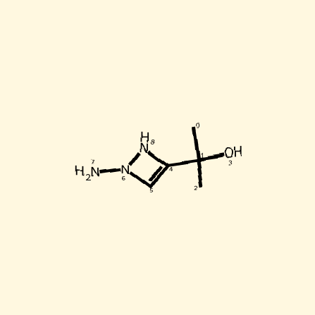 CC(C)(O)c1cn(N)[nH]1